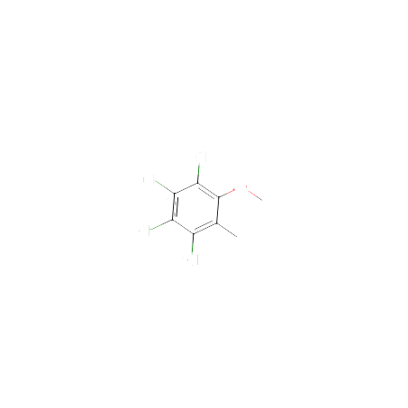 COc1c(C)c(Cl)c(Cl)c(Cl)c1Cl